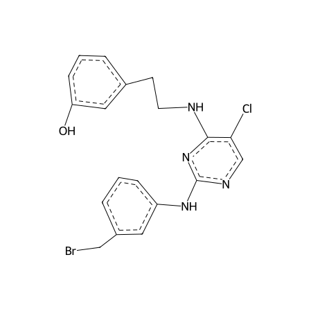 Oc1cccc(CCNc2nc(Nc3cccc(CBr)c3)ncc2Cl)c1